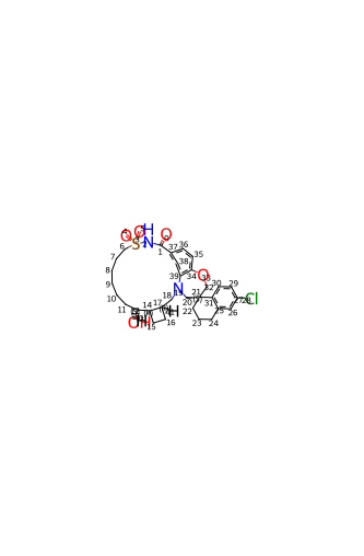 O=C1NS(=O)(=O)CCCCCC[C@H](O)[C@@H]2CC[C@H]2CN2C[C@@]3(CCCc4cc(Cl)ccc43)COc3ccc1cc32